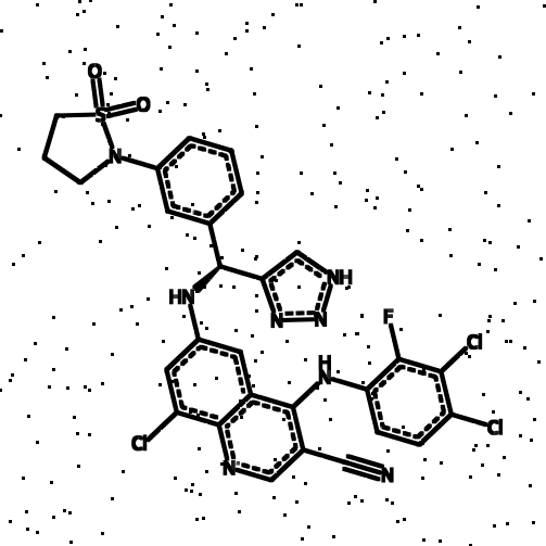 N#Cc1cnc2c(Cl)cc(N[C@@H](c3cccc(N4CCCS4(=O)=O)c3)c3c[nH]nn3)cc2c1Nc1ccc(Cl)c(Cl)c1F